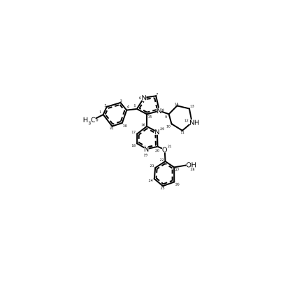 Cc1ccc(-c2ncn(C3CCNCC3)c2-c2ccnc(Oc3ccccc3O)n2)cc1